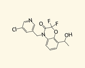 CC(O)c1cccc2c1OC(F)(F)C(=O)N2Cc1cncc(Cl)c1